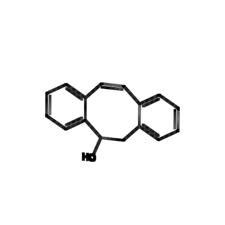 OC1Cc2ccccc2/C=C\c2ccccc21